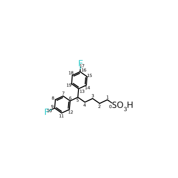 O=S(=O)(O)CCCCC(c1ccc(F)cc1)c1ccc(F)cc1